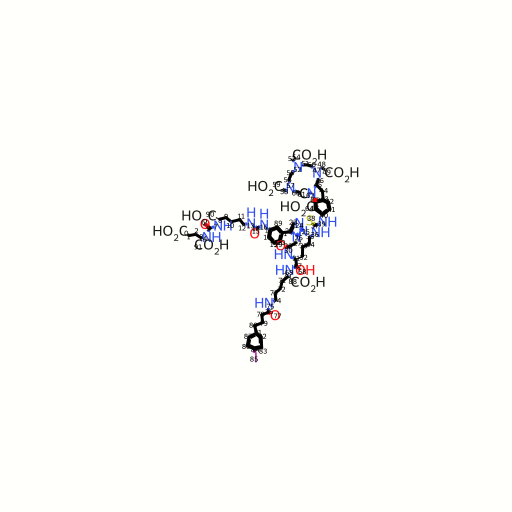 O=C(O)CC[C@H](NC(=O)N[C@@H](CCCCNC(=O)Nc1cccc(-c2cnnn2CC(=O)N[C@@H](CCCCNC(=S)Nc2ccc(CC3CN(CC(=O)O)CCN(CC(=O)O)CCN(CC(=O)O)CCN3CC(=O)O)cc2)C(O)N[C@@H](CCCCNC(=O)CCCc2ccc(I)cc2)C(=O)O)c1)C(=O)O)C(=O)O